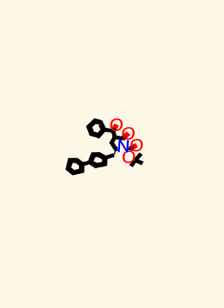 CC(C)(C)OC(=O)N1C(=O)C(C(=O)c2ccccc2)C[C@H]1Cc1ccc(-c2ccccc2)cc1